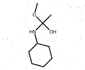 COC(C)(O)NC1CCCCC1